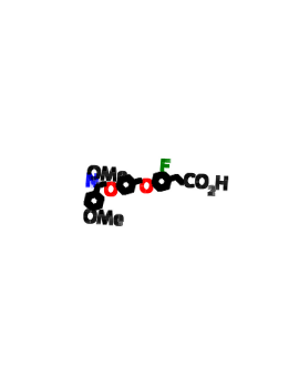 CO/N=C(\COc1ccc(COc2ccc(CCC(=O)O)c(F)c2)cc1)c1ccc(OC)cc1